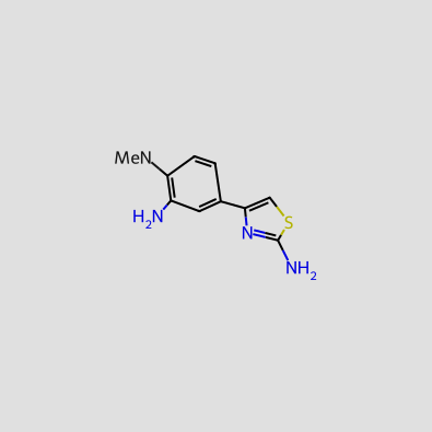 CNc1ccc(-c2csc(N)n2)cc1N